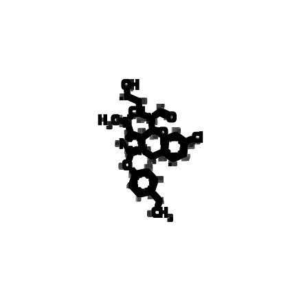 CCc1ccc(Oc2nc(N(C)C)c(C(=O)N(C=O)CCCO)n2Cc2ccc(Cl)cn2)cc1